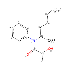 CC(O)C(=O)N(c1ccccc1)C(CCCC(=O)O)C(=O)O